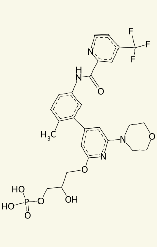 Cc1ccc(NC(=O)c2cc(C(F)(F)F)ccn2)cc1-c1cc(OCC(O)COP(=O)(O)O)nc(N2CCOCC2)c1